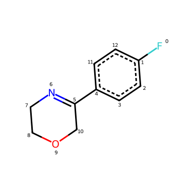 Fc1ccc(C2=NCCOC2)cc1